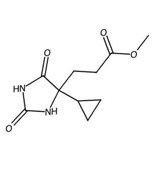 COC(=O)CCC1(C2CC2)NC(=O)NC1=O